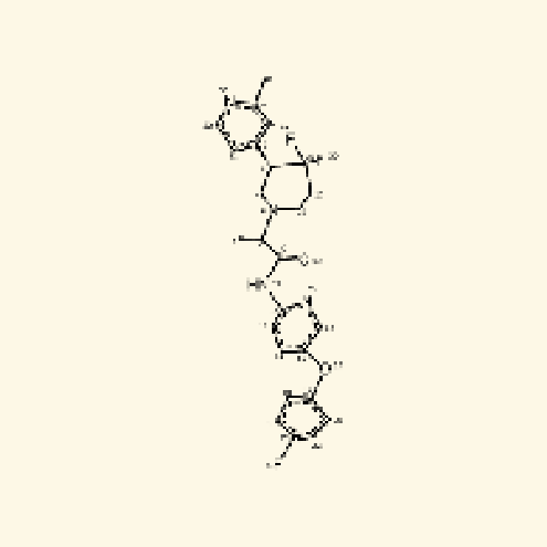 Cc1cc([C@@H]2CN([C@H](C)C(=O)Nc3ccc(Oc4ccc(F)cc4)cn3)CCC2(F)F)ccn1